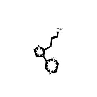 O/C=C/Cc1sccc1-c1cnccn1